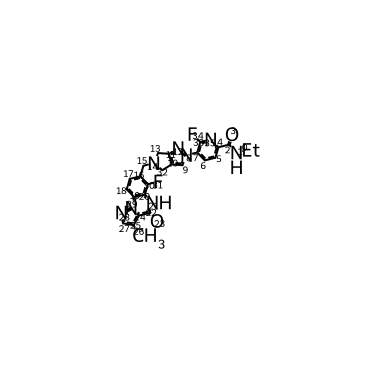 CCNC(=O)c1ccc(-n2cc3c(n2)CN(Cc2ccc4c([nH]c(=O)c5c(C)cnn54)c2F)C3)c(F)n1